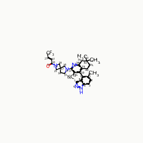 Cc1ccc2[nH]ncc2c1-c1c(C#N)c(N2CCC3(CN(C(=O)/C=C/C(F)(F)F)C3)C2)nc2c1CCC(C)(C)C2